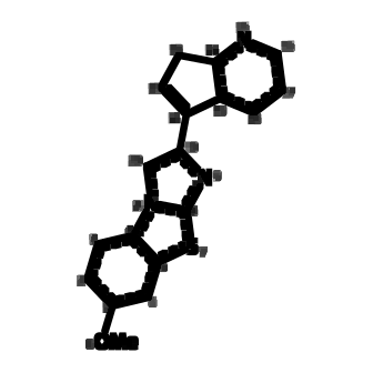 COc1ccc2c(c1)sc1nc(C3=CCc4ncccc43)cn12